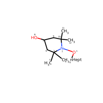 CCCCCCCON1C(C)(C)CC(O)CC1(C)C